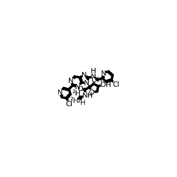 [2H]C([2H])([2H])NC(=O)C1(n2c(NCc3cc(Cl)ccn3)nc3cnc(-c4cncc(Cl)c4)nc32)OCC(O)C1O